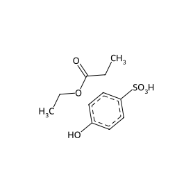 CCOC(=O)CC.O=S(=O)(O)c1ccc(O)cc1